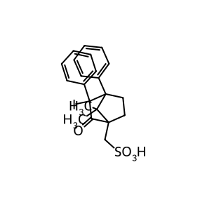 CC1(C)C2(CS(=O)(=O)O)CCC1(c1ccccc1)C(I)(c1ccccc1)C2=O